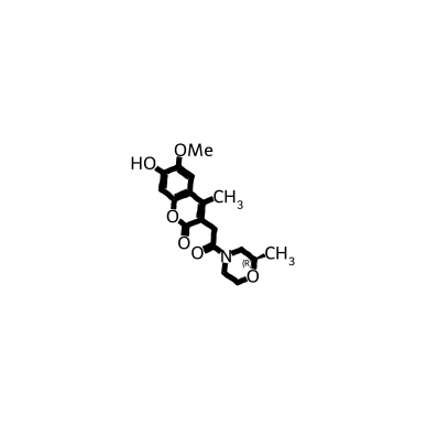 COc1cc2c(C)c(CC(=O)N3CCO[C@H](C)C3)c(=O)oc2cc1O